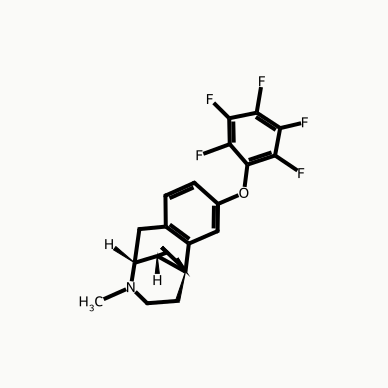 CN1CC[C@]23CCCC[C@H]2[C@H]1Cc1ccc(Oc2c(F)c(F)c(F)c(F)c2F)cc13